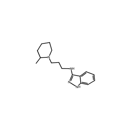 CC1CCCCN1CCCNc1n[nH]c2ccccc12